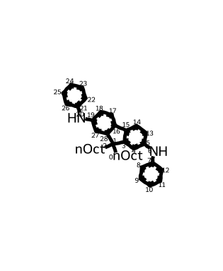 CCCCCCCCC1(CCCCCCCC)c2cc(Nc3ccccc3)ccc2-c2ccc(Nc3ccccc3)cc21